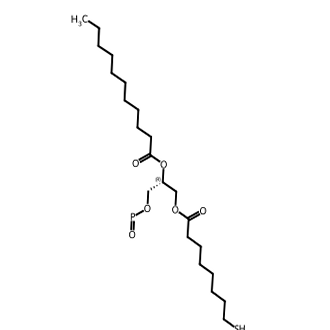 CCCCCCCCCCC(=O)O[C@@H](COP=O)COC(=O)CCCCCCCS